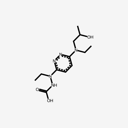 CCN(CC(C)O)c1ccc(N(CC)NC(=O)O)nn1